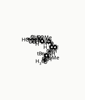 COc1cc(Nc2cc(Oc3ccc(NC(=O)Nc4cc(C(C)(C)C)cc(NS(C)(=O)=O)c4OC)c4ccccc34)ccn2)ccc1C(=O)NC[C@H](O)[C@H](O)[C@H](O)CO